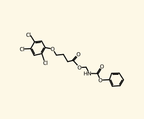 O=C(CCCOc1cc(Cl)c(Cl)cc1Cl)OCNC(=O)Oc1ccccc1